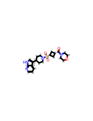 O=C([C@H]1C[C@H](S(=O)(=O)N2CCC(c3c[nH]c4ncccc34)CC2)C1)N1CCOCC1